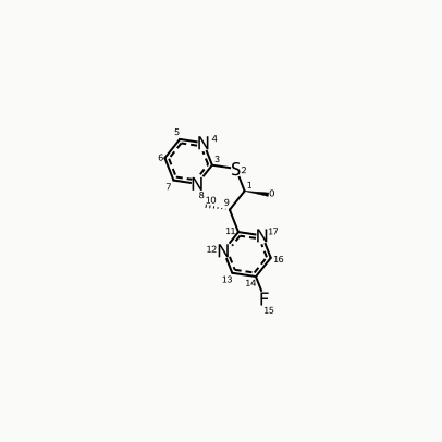 C[C@H](Sc1ncccn1)[C@@H](C)c1ncc(F)cn1